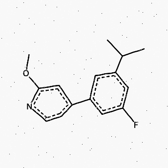 COc1cc(-c2cc(F)cc(C(C)C)c2)ccn1